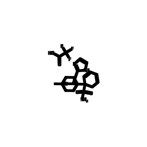 CC12CCC(C3(S(N)(=O)=O)C=CC=CC3)(CC1)C(c1ncc[nH]1)O2.O=C(O)C(F)(F)F